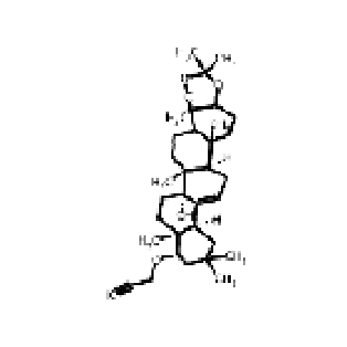 C#CCO[C@@H]1CC(C)(C)C[C@@H]2C3=CC[C@@H]4[C@@]5(C)CCC6OC(C)(C)OCC6(C)C5CC[C@@]4(C)[C@]3(C)CC[C@]21C